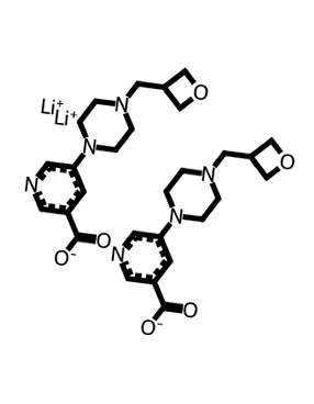 O=C([O-])c1cncc(N2CCN(CC3COC3)CC2)c1.O=C([O-])c1cncc(N2CCN(CC3COC3)CC2)c1.[Li+].[Li+]